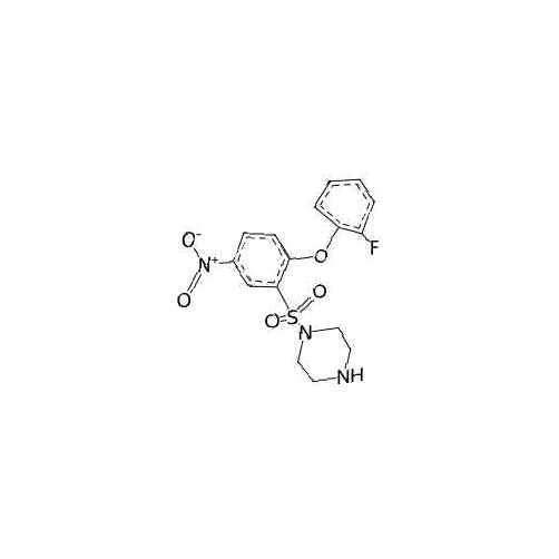 O=[N+]([O-])c1ccc(Oc2ccccc2F)c(S(=O)(=O)N2CCNCC2)c1